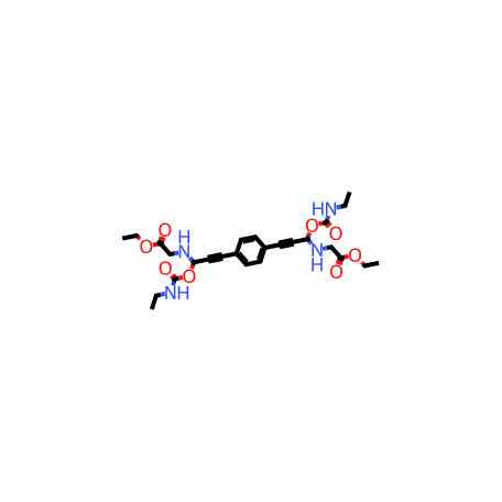 CCNC(=O)OC(C#Cc1ccc(C#CC(NCC(=O)OCC)OC(=O)NCC)cc1)NCC(=O)OCC